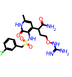 Cc1cc(C(CCONC(=N)N)C(N)=O)c(NS(=O)(=O)Cc2cccc(Cl)c2)c(=O)[nH]1